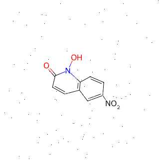 O=c1ccc2cc([N+](=O)[O-])ccc2n1O